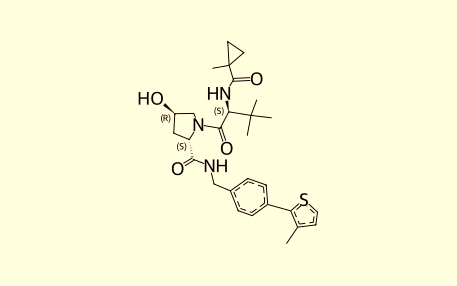 Cc1ccsc1-c1ccc(CNC(=O)[C@@H]2C[C@@H](O)CN2C(=O)[C@@H](NC(=O)C2(C)CC2)C(C)(C)C)cc1